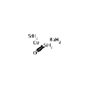 O=[SiH2].[BaH2].[Cu].[SrH2]